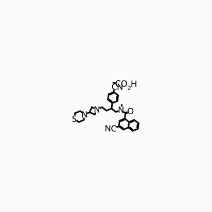 CC(=O)O.CN(CC(CCN1CC(N2CCSCC2)C1)c1ccc(C#N)cc1)C(=O)c1cc(C#N)cc2ccccc12